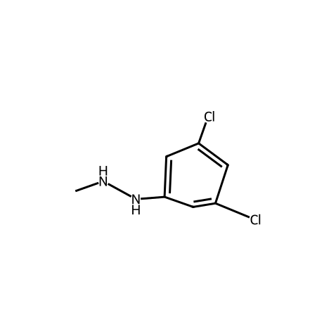 CNNc1cc(Cl)cc(Cl)c1